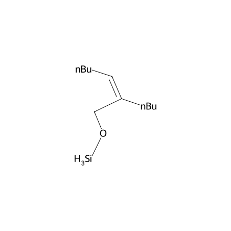 CCCCC=C(CCCC)CO[SiH3]